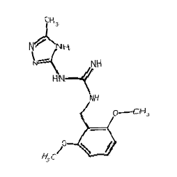 COc1cccc(OC)c1CNC(=N)Nc1nnc(C)[nH]1